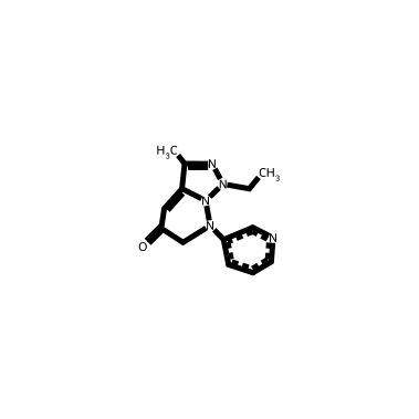 CCN1N=C(C)C2=CC(=O)CN(c3cccnc3)N21